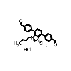 CCCC[n+]1cn(C)c2c(-c3ccc(C=O)cc3)ccc(-c3ccc(C=O)cc3)c21.Cl